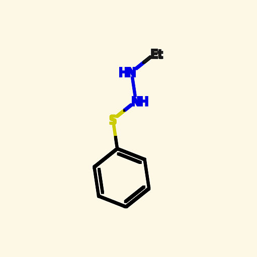 CCNNSc1ccccc1